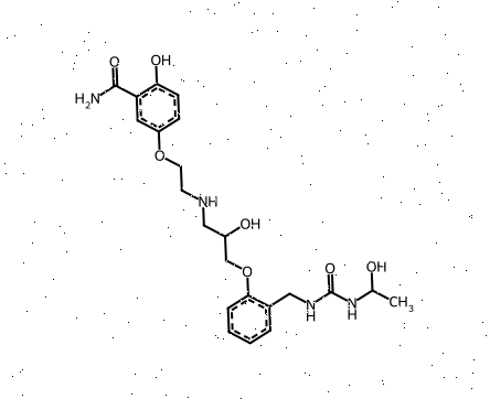 CC(O)NC(=O)NCc1ccccc1OCC(O)CNCCOc1ccc(O)c(C(N)=O)c1